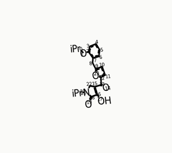 CC(C)Oc1ccccc1Cc1ccc(C(=O)C2=C(O)C(=O)N(C(C)C)C2)o1